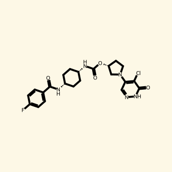 O=C(N[C@H]1CC[C@@H](NC(=O)c2ccc(F)cc2)CC1)O[C@@H]1CCN(c2cn[nH]c(=O)c2Cl)C1